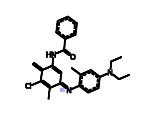 C=C1C(NC(=O)c2ccccc2)=C/C(=N\c2ccc(N(CC)CC)cc2C)C(C)=C1Cl